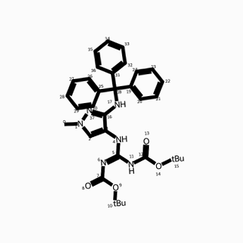 Cn1cc(NC(=NC(=O)OC(C)(C)C)NC(=O)OC(C)(C)C)c(NC(c2ccccc2)(c2ccccc2)c2ccccc2)n1